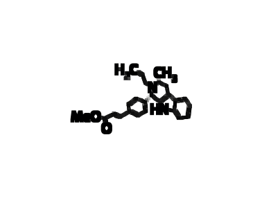 C=CCN1[C@@H](c2ccc(/C=C/C(=O)OC)cc2)c2[nH]c3ccccc3c2C[C@H]1C